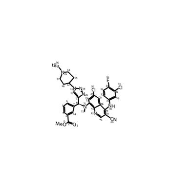 COC(=O)c1cccc([C@@H](c2cn(C3CCN(C(C)(C)C)CC3)nn2)N(C)c2cc(Cl)cc3c(Nc4ccc(F)c(Cl)c4)c(C#N)cnc23)c1